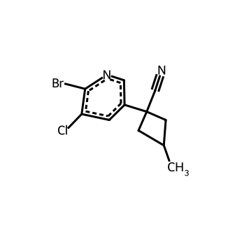 CC1CC(C#N)(c2cnc(Br)c(Cl)c2)C1